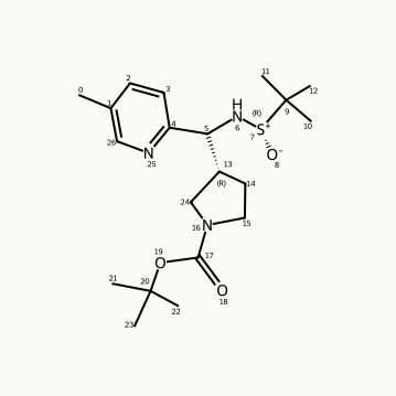 Cc1ccc(C(N[S@@+]([O-])C(C)(C)C)[C@@H]2CCN(C(=O)OC(C)(C)C)C2)nc1